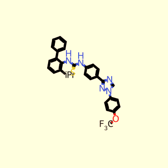 CC(C)c1cccc(-c2ccccc2)c1NC(=S)Nc1ccc(-c2ncn(-c3ccc(OC(F)(F)F)cc3)n2)cc1